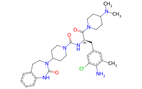 Cc1cc(C[C@@H](NC(=O)N2CCC(N3CCc4ccccc4NC3=O)CC2)C(=O)N2CCC(N(C)C)CC2)cc(Cl)c1N